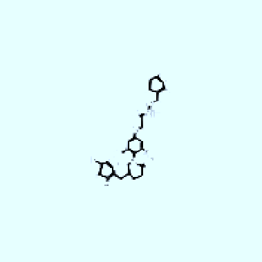 O=C(CNc1cc(Cl)c(N2CC(Cc3ccc(F)cc3F)CCC2=O)c(Cl)c1)NOCc1ccccc1